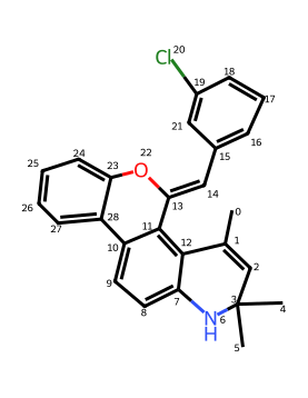 CC1=CC(C)(C)Nc2ccc3c(c21)C(=Cc1cccc(Cl)c1)Oc1ccccc1-3